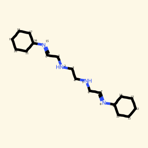 C(CNCCNCC=NC1CCCCC1)=NC1CCCCC1